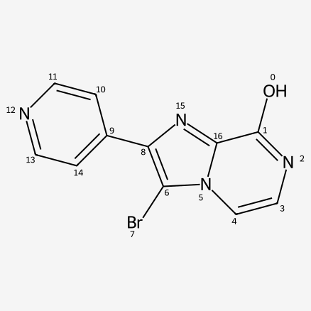 Oc1nccn2c(Br)c(-c3ccncc3)nc12